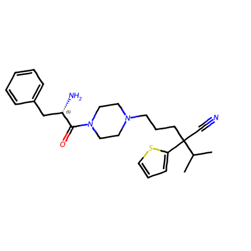 CC(C)C(C#N)(CCCN1CCN(C(=O)[C@@H](N)Cc2ccccc2)CC1)c1cccs1